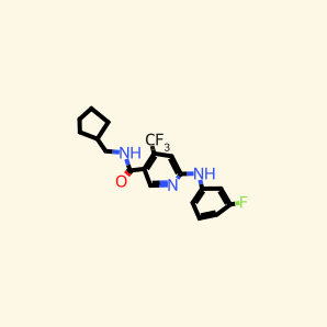 O=C(NCC1CCCC1)c1cnc(Nc2cccc(F)c2)cc1C(F)(F)F